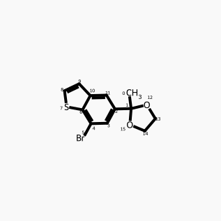 CC1(c2cc(Br)c3sccc3c2)OCCO1